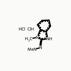 CNN=c1[nH]c2ccccc2n1C.Cl.Cl